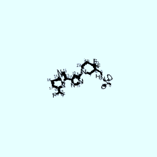 CS(=O)(=O)NCC1CN(c2cc(-c3cnc4ccc(C(F)F)nn34)ncn2)CCC1(F)F